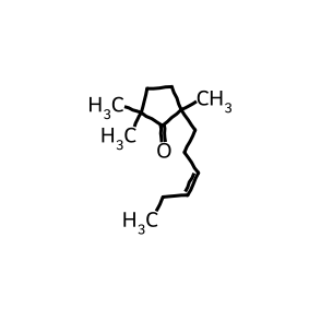 CC/C=C\CCC1(C)CCC(C)(C)C1=O